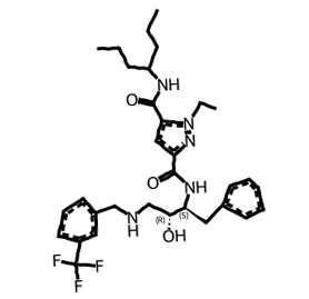 CCCC(CCC)NC(=O)c1cc(C(=O)N[C@@H](Cc2ccccc2)[C@H](O)CNCc2cccc(C(F)(F)F)c2)nn1CC